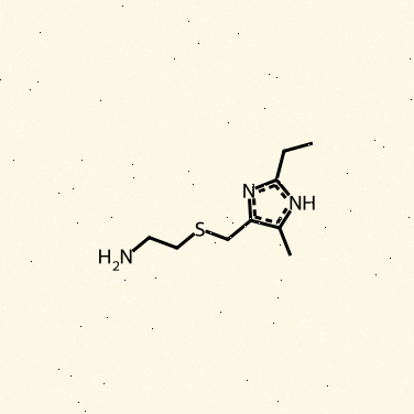 CCc1nc(CSCCN)c(C)[nH]1